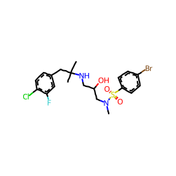 CN(CC(O)CNC(C)(C)Cc1ccc(Cl)c(F)c1)S(=O)(=O)c1ccc(Br)cc1